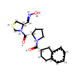 O=C([C@@H]1CCCN1C(=O)[C@H]1CCc2ccccc2C1)N1CSC[C@H]1C=NO